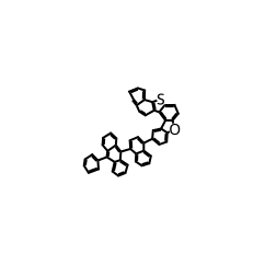 c1ccc(-c2c3ccccc3c(-c3ccc(-c4ccc5oc6ccc7sc8c9ccccc9ccc8c7c6c5c4)c4ccccc34)c3ccccc23)cc1